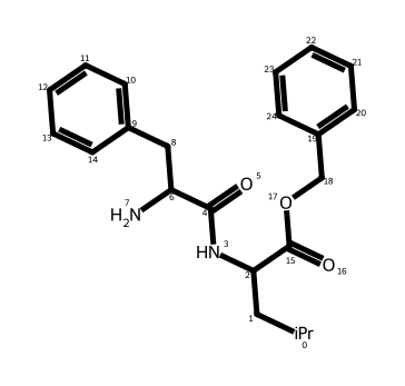 CC(C)CC(NC(=O)C(N)Cc1ccccc1)C(=O)OCc1ccccc1